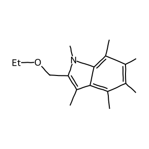 CCOCc1c(C)c2c(C)c(C)c(C)c(C)c2n1C